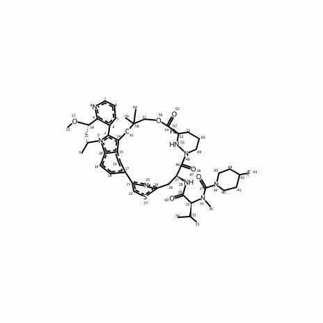 CCn1c(-c2cccnc2[C@H](C)OC)c2c3cc(ccc31)-c1csc(n1)C[C@H](NC(=O)[C@H](C(C)C)N(C)C(=O)N1CCC(F)CC1)C(=O)N1CCC[C@H](N1)C(=O)OCC(C)(C)C2